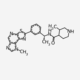 CC1CNCCC1C(=O)N[C@@H](C)c1cccc(-c2nc3c(ncc4ncn(C)c43)s2)c1